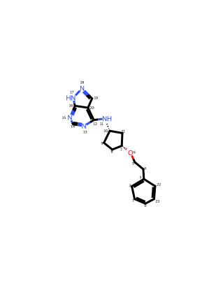 c1ccc(CCO[C@@H]2CC[C@H](Nc3ncnc4[nH]ncc34)C2)cc1